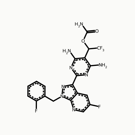 NC(=O)OC(c1c(N)nc(-c2nn(Cc3ccccc3F)c3ncc(F)cc23)nc1N)C(F)(F)F